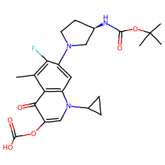 Cc1c(F)c(N2CC[C@@H](NC(=O)OC(C)(C)C)C2)cc2c1c(=O)c(OC(=O)O)cn2C1CC1